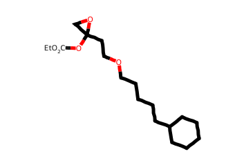 CCOC(=O)OC1(CCOCCCCCC2CCCCC2)CO1